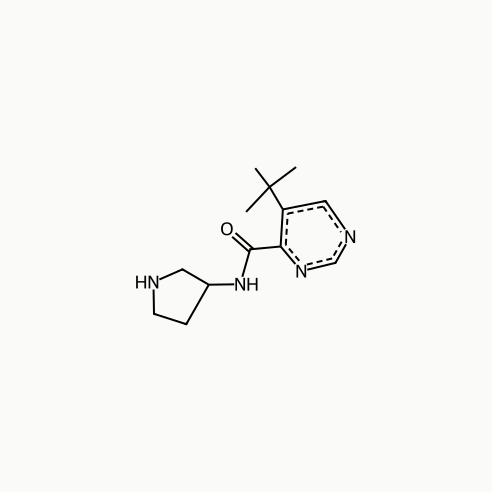 CC(C)(C)c1cncnc1C(=O)NC1CCNC1